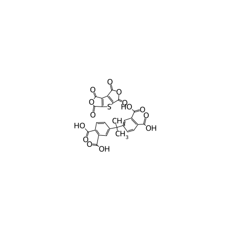 CC(C)(c1ccc(C(=O)O)c(C(=O)O)c1)c1ccc(C(=O)O)c(C(=O)O)c1.O=c1oc(=O)c2c1sc1c(=O)oc(=O)c12